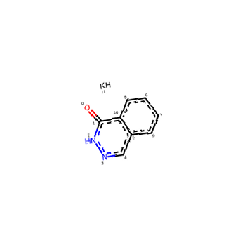 O=c1[nH]ncc2ccccc12.[KH]